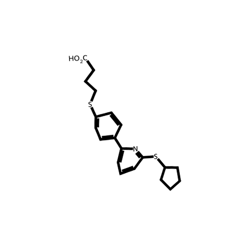 O=C(O)CCCSc1ccc(-c2cccc(SC3CCCC3)n2)cc1